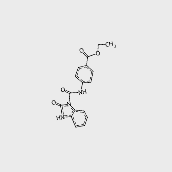 CCOC(=O)c1ccc(NC(=O)n2c(=O)[nH]c3ccccc32)cc1